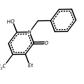 CCc1c(C)cc(O)n(Cc2ccccc2)c1=O